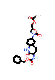 CCCC(=O)OCC1CN(c2ccc3c(c2)CCC(NC(=O)OCc2ccccc2)C(=O)N3)C(=O)O1